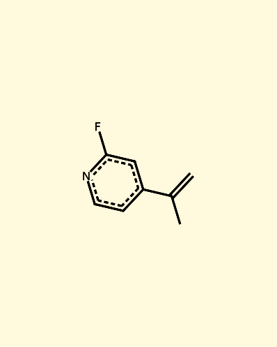 C=C(C)c1ccnc(F)c1